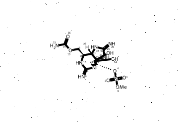 COS(=O)(=O)O[C@@H]1CN2C(=N)N[C@@H](COC(N)=O)[C@@H]3NC(=N)N[C@@]32C1(O)O